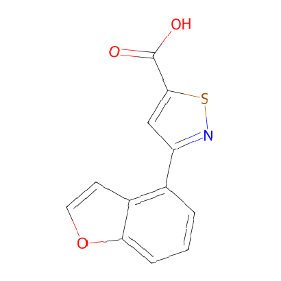 O=C(O)c1cc(-c2cccc3occc23)ns1